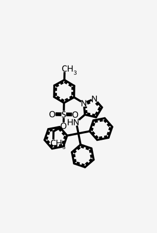 CCOS(=O)(=O)c1ccc(C)cc1-n1nccc1NC(c1ccccc1)(c1ccccc1)c1ccccc1